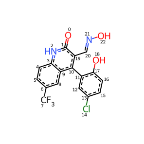 O=c1[nH]c2ccc(C(F)(F)F)cc2c(-c2cc(Cl)ccc2O)c1C=NO